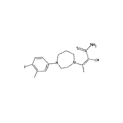 CC(=C(C#N)C(N)=S)N1CCCN(c2ccc(F)c(C)c2)CC1